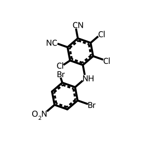 N#Cc1c(Cl)c(Cl)c(Nc2c(Br)cc([N+](=O)[O-])cc2Br)c(Cl)c1C#N